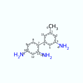 Cc1cc(N)cc(-c2ccc(N)cc2N)c1